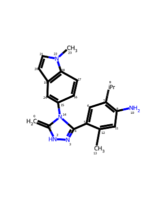 C=C1NN=C(c2cc(C(C)C)c(N)cc2C)N1c1ccc2c(ccn2C)c1